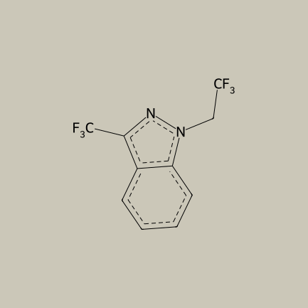 FC(F)(F)Cn1nc(C(F)(F)F)c2ccccc21